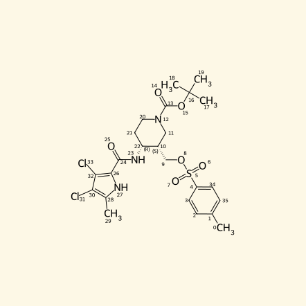 Cc1ccc(S(=O)(=O)OC[C@H]2CN(C(=O)OC(C)(C)C)CC[C@H]2NC(=O)c2[nH]c(C)c(Cl)c2Cl)cc1